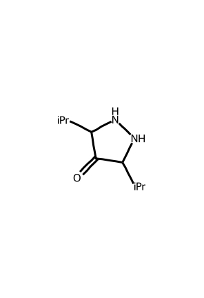 CC(C)C1NNC(C(C)C)C1=O